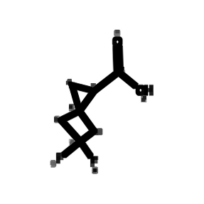 O=C(O)C1CC12CC(F)(F)C2